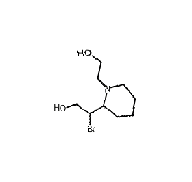 OCCN1CCCCC1C(Br)CO